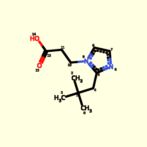 CC(C)(C)Cc1nccn1CCC(=O)O